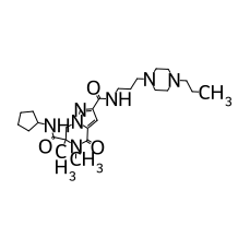 CCCN1CCN(CCCNC(=O)c2cc3n(n2)CC(C)(C(=O)NC2CCCC2)N(C)C3=O)CC1